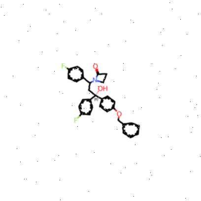 O=C1CCN1C(C[C@](O)(c1ccc(F)cc1)c1ccc(OCc2ccccc2)cc1)c1ccc(F)cc1